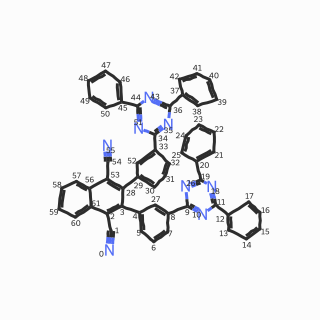 N#Cc1c(-c2cccc(-c3nc(-c4ccccc4)nc(-c4ccccc4)n3)c2)c(-c2cccc(-c3nc(-c4ccccc4)nc(-c4ccccc4)n3)c2)c(C#N)c2ccccc12